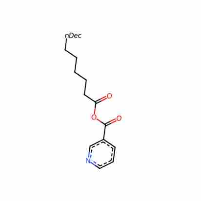 CCCCCCCCCCCCCCCC(=O)OC(=O)c1cccnc1